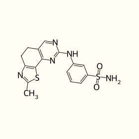 Cc1nc2c(s1)-c1nc(Nc3cccc(S(N)(=O)=O)c3)ncc1CC2